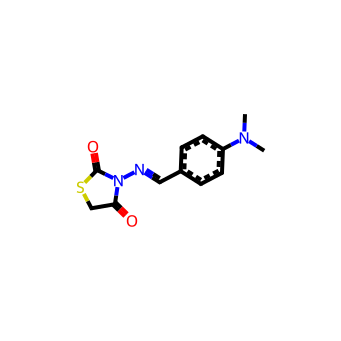 CN(C)c1ccc(/C=N/N2C(=O)CSC2=O)cc1